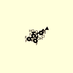 CC(C)(O)c1cc([C@@](O)(CNC(=O)c2cc(Cl)c3nn(C4CC4)cc3c2)c2cccc(F)c2)nc(-c2cc(F)c(F)cc2F)c1F